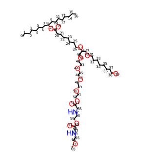 CCCCCCCCC(CCCCCCCC)OC(=O)CCCCCCCOC(COCCCCCCCC=O)COCCOCCOCCOCCOC(=O)CNCCOC(=O)CNCCOC